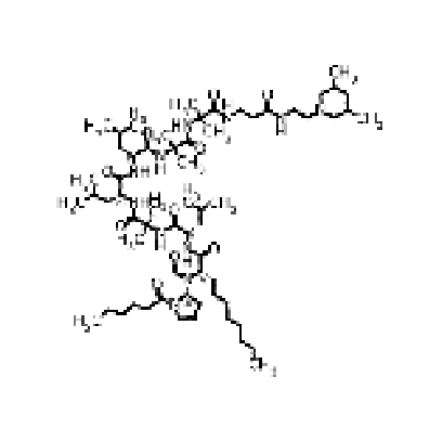 CCCCCCCC[C@@H](C(=O)N[C@@H](CC(C)C)C(=O)NC(C)(C)C(=O)N[C@@H](CC(C)C)C(=O)N[C@@H](CC(C)C)C(=O)NC(C)(C)C(=O)NC(C)(C)C(=O)NCCC(=O)NCCN1CC(C)CC(C)C1)N(C=O)[C@@H]1CCCN1C(=O)CCCCC